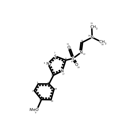 COc1ccc(-c2nsc(S(=O)(=O)N=CN(C)C)n2)cc1